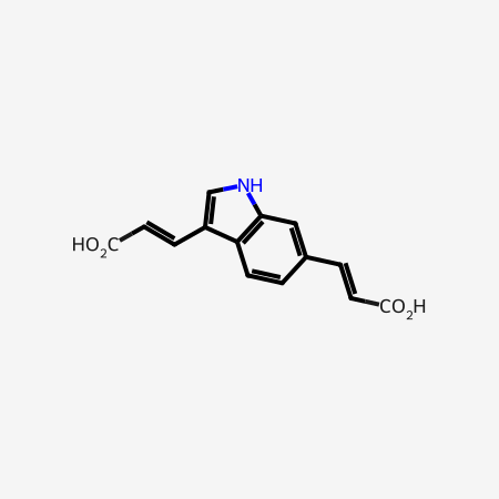 O=C(O)C=Cc1ccc2c(C=CC(=O)O)c[nH]c2c1